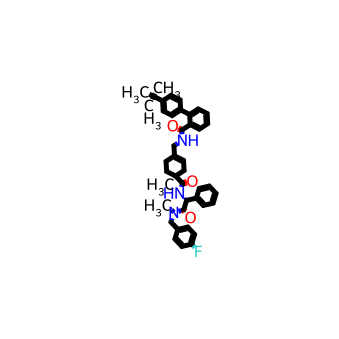 CN(Cc1ccc(F)cc1)C(=O)[C@@H](NC(=O)C1(C)CC=C(CNC(=O)c2ccccc2-c2ccc(C(C)(C)C)cc2)CC1)c1ccccc1